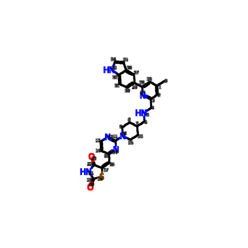 Cc1cc(CNCC2CCN(c3nccc(/C=C4/SC(=O)NC4=O)n3)CC2)nc(-c2ccc3[nH]ccc3c2)c1